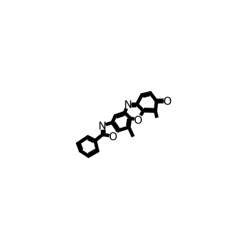 Cc1c2oc3c(C)c4oc(-c5ccccc5)nc4cc3nc-2ccc1=O